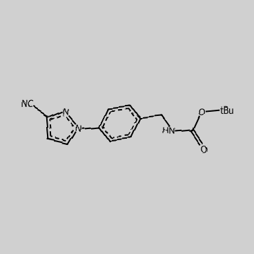 CC(C)(C)OC(=O)NCc1ccc(-n2ccc(C#N)n2)cc1